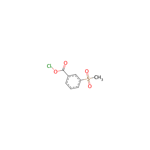 CS(=O)(=O)c1cccc(C(=O)OCl)c1